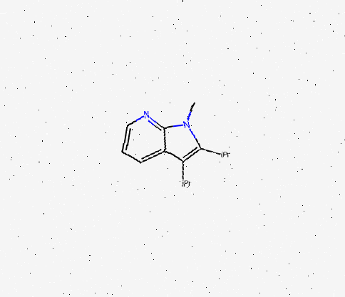 CC(C)c1c(C(C)C)n(C)c2ncccc12